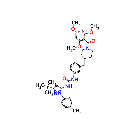 COc1cc(OC)c(C(=O)N2CCC(Cc3cccc(NC(=O)Nc4cc(C(C)(C)C)nn4-c4ccc(C)cc4)c3)CC2)c(OC)c1